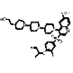 CSc1ccc2ncc(S(=O)(=O)c3ccc(OC(C)CC(C)C)c(F)c3)c(N3CCC(N4CCC(N5CCN(CCO)CC5)CC4)CC3)c2c1